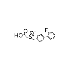 O=C(O)C[S+]([O-])Cc1ccc(-c2ccccc2F)cc1